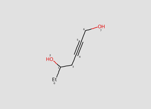 CCC(O)CC#CCO